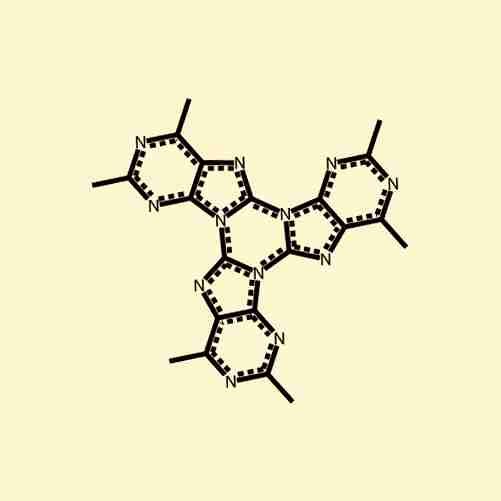 Cc1nc(C)c2nc3n(c2n1)c1nc2c(C)nc(C)nc2n1c1nc2c(C)nc(C)nc2n31